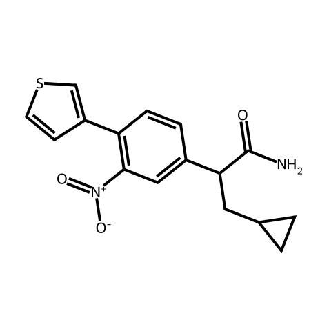 NC(=O)C(CC1CC1)c1ccc(-c2ccsc2)c([N+](=O)[O-])c1